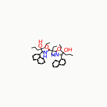 CCCC(O)(CCC)[C@@H](NC(=O)C(CC)(CC)C(=O)N[C@@H](c1cccc2ccccc12)C(O)(CCC)CCC)c1cccc2ccccc12